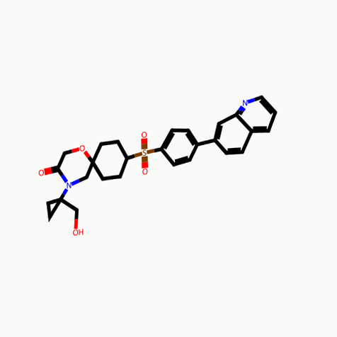 O=C1COC2(CCC(S(=O)(=O)c3ccc(-c4ccc5cccnc5c4)cc3)CC2)CN1C1(CO)CC1